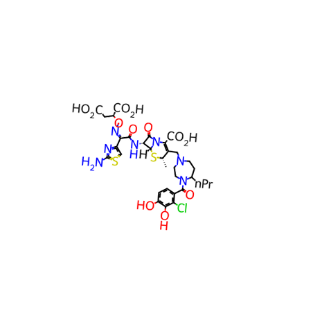 CCCC1CCN(CC2=C(C(=O)O)N3C(=O)[C@@H](NC(=O)/C(=N\O[C@@H](CC(=O)O)C(=O)O)c4csc(N)n4)[C@H]3S[C@H]2C)CCN1C(=O)c1ccc(O)c(O)c1Cl